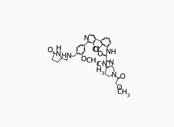 COCC(=O)N1CCc2c(nc(C(=O)Nc3cccc(-c4ccnc(-c5ccc(CNC[C@H]6CCC(=O)N6)c(OC)c5)c4Cl)c3Cl)n2C)C1